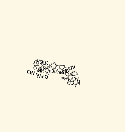 CCCCC1(CCCC)c2cc(-c3cnc([C@@H]4CCCN4C(=O)[C@H](C(C)C)N(C)C(=O)O)[nH]3)ccc2-c2ccc(N(C(=O)O)[C@H]3C[C@H](COC)CN3C(=O)[C@H](NC(=O)OC)c3ccccc3)cc21